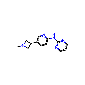 CN1CC(c2ccc(Nc3ncccn3)nc2)C1